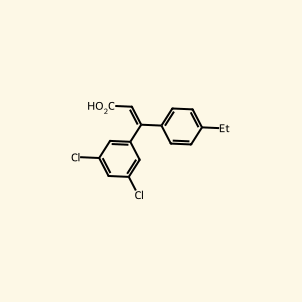 CCc1ccc(C(=CC(=O)O)c2cc(Cl)cc(Cl)c2)cc1